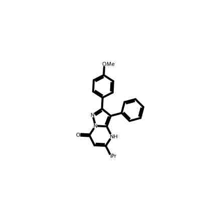 COc1ccc(-c2nn3c(=O)cc(C(C)C)[nH]c3c2-c2ccccc2)cc1